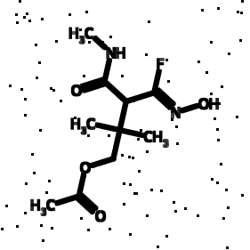 CNC(=O)C(C(F)=NO)C(C)(C)COC(C)=O